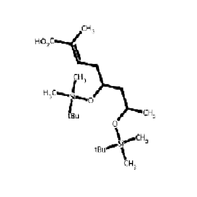 C/C(=C\CC(CC(C)O[Si](C)(C)C(C)(C)C)O[Si](C)(C)C(C)(C)C)C(=O)O